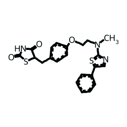 CN(CCOc1ccc(CC2SC(=O)NC2=O)cc1)c1ncc(-c2ccccc2)s1